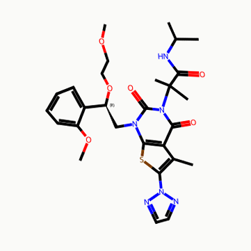 COCCO[C@@H](Cn1c(=O)n(C(C)(C)C(=O)NC(C)C)c(=O)c2c(C)c(-n3nccn3)sc21)c1ccccc1OC